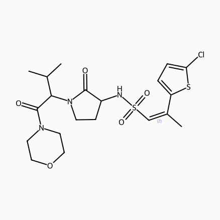 C/C(=C/S(=O)(=O)NC1CCN(C(C(=O)N2CCOCC2)C(C)C)C1=O)c1ccc(Cl)s1